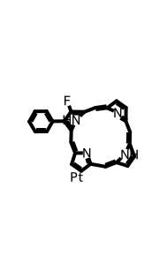 Fc1c(-c2ccccc2)c2cc3nc(cc4ccc(cc5nc(cc1[nH]2)C=C5)[nH]4)C=C3.[Pt]